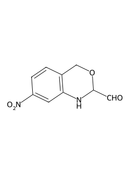 O=CC1Nc2cc([N+](=O)[O-])ccc2CO1